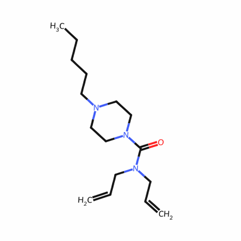 C=CCN(CC=C)C(=O)N1CCN(CCCCC)CC1